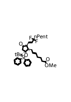 CCCCCC(F)(F)C=C[C@@H]1C(=O)C[C@@H](O[Si](c2ccccc2)(c2ccccc2)C(C)(C)C)[C@@H]1CC=CCCCC(=O)OC